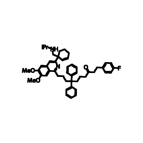 COc1cc2cc(C3(CNC(C)C)C=CCCC3)nc(CCCC(CCCC(=O)CCc3ccc(F)cc3)(c3ccccc3)c3ccccc3)c2cc1OC